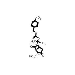 CC(C)(OC(=O)OCc1ccc([N+](=O)[O-])cc1)[C@H]1C(=O)N2C1CC(=O)[C@@H]2C(=O)O